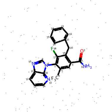 NC(=O)c1cc(C(F)(F)F)c(-n2cnc3cccnc32)c(F)c1Cc1ccccc1